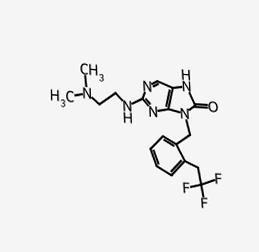 CN(C)CCNc1ncc2[nH]c(=O)n(Cc3ccccc3CC(F)(F)F)c2n1